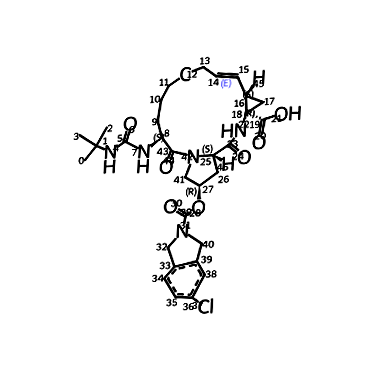 CC(C)(C)NC(=O)N[C@H]1CCCCC/C=C/[C@@H]2C[C@@]2(C(=O)O)NC(=O)[C@@H]2C[C@@H](OC(=O)N3Cc4ccc(Cl)cc4C3)CN2C1=O